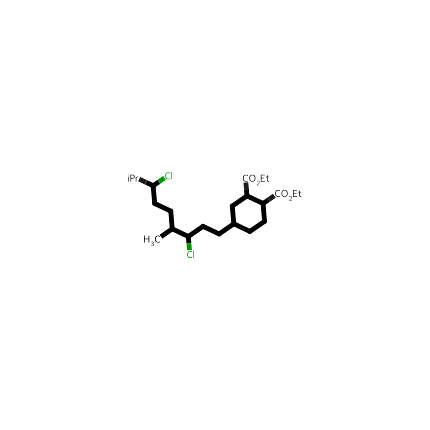 CCOC(=O)C1CCC(CCC(Cl)C(C)CCC(Cl)C(C)C)CC1C(=O)OCC